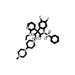 CCOc1ncccc1C1(C(=O)NN2CCC(N3CCN(C)CC3)CC2)C(=O)N(S(=O)(=O)c2ccccc2)c2cc(F)c(F)cc21